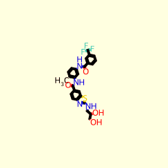 Cc1ccc(NC(=O)c2cccc(C(F)(F)F)c2)cc1NC(=O)c1ccc2nc(NCC(O)CO)sc2c1